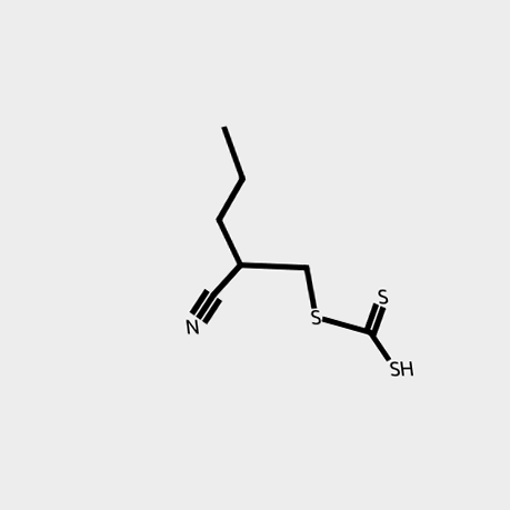 CCCC(C#N)CSC(=S)S